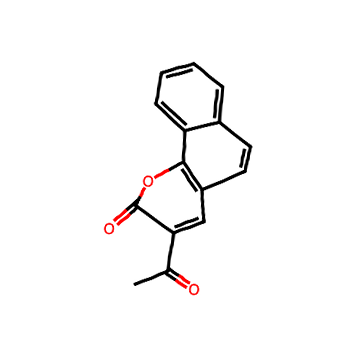 CC(=O)c1cc2ccc3ccccc3c2oc1=O